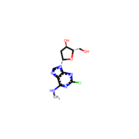 CNc1nc(Cl)nc2c1ncn2[C@@H]1C[C@@H](O)[C@H](CO)O1